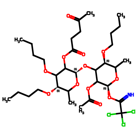 CCCCOC1C(OC(=O)CCC(C)=O)[C@H](OC2C(OC(C)=O)[C@H](OC(=N)C(Cl)(Cl)Cl)OC(C)[C@@H]2OCCCC)OC(C)[C@@H]1OCCCC